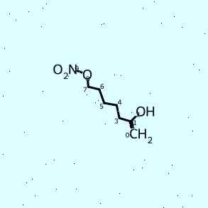 C=C(O)CCCCCO[N+](=O)[O-]